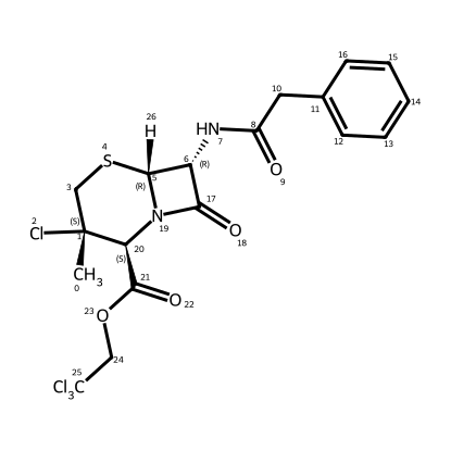 C[C@@]1(Cl)CS[C@@H]2[C@H](NC(=O)Cc3ccccc3)C(=O)N2[C@H]1C(=O)OCC(Cl)(Cl)Cl